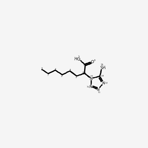 CCCCCCC(C(=O)O)n1nnnc1S